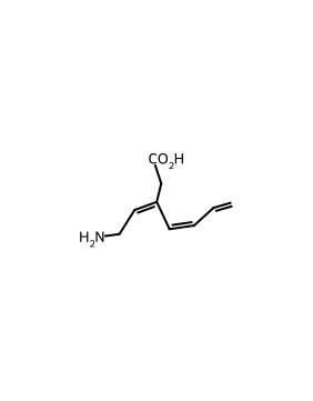 C=C/C=C\C(=C/CN)CC(=O)O